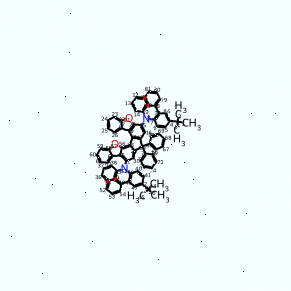 CC(C)(C)c1ccc(N(c2ccccc2)c2cc3c(c4c2oc2ccccc24)-c2c(cc(N(c4ccccc4)c4ccc(C(C)(C)C)cc4-c4ccccc4)c4c2oc2ccccc24)C3(c2ccccc2)c2ccccc2)c(-c2ccccc2)c1